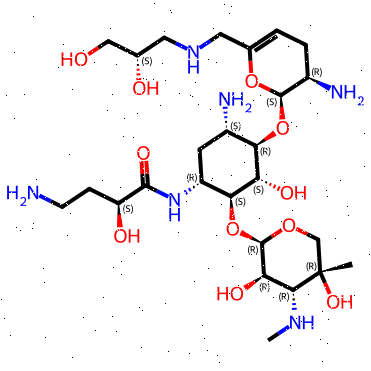 CN[C@@H]1[C@@H](O)[C@@H](O[C@@H]2[C@@H](O)[C@H](O[C@H]3OC(CNC[C@H](O)CO)=CC[C@H]3N)[C@@H](N)C[C@H]2NC(=O)[C@@H](O)CCN)OC[C@]1(C)O